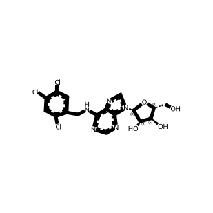 OC[C@H]1O[C@@H](n2cnc3c(NCc4cc(Cl)c(Cl)cc4Cl)ncnc32)[C@H](O)[C@@H]1O